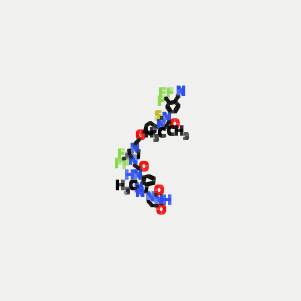 Cn1nc(N2CCC(=O)NC2=O)c2cccc(NC(=O)CN3CCN(CCOC4CCC(N5C(=S)N(c6ccc(C#N)c(C(F)(F)F)c6)C(=O)C5(C)C)CC4)C[C@H]3C(F)(F)F)c21